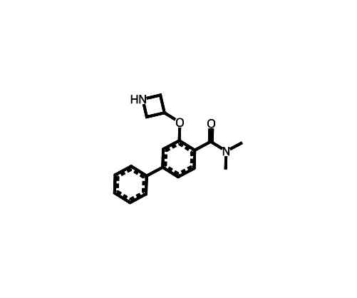 CN(C)C(=O)c1ccc(-c2ccccc2)cc1OC1CNC1